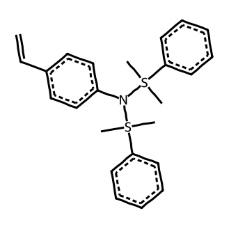 C=Cc1ccc(N(S(C)(C)c2ccccc2)S(C)(C)c2ccccc2)cc1